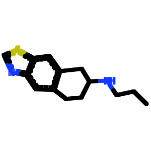 CCCNC1CCc2cc3ncsc3cc2C1